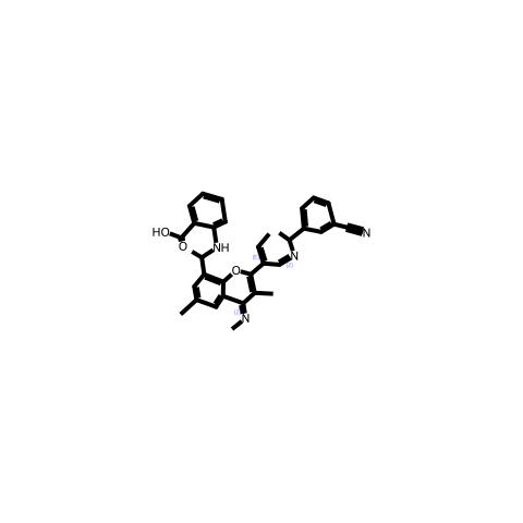 C/C=C(\C=N/C(C)c1cccc(C#N)c1)c1oc2c(C(C)Nc3ccccc3C(=O)O)cc(C)cc2/c(=N\C)c1C